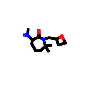 CNC1CCCC(C)(C)N(CC2CCO2)C1=O